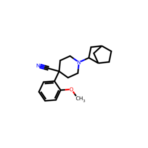 COc1ccccc1C1(C#N)CCN(C2CC3CCC2C3)CC1